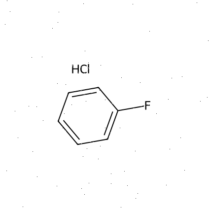 Cl.Fc1ccccc1